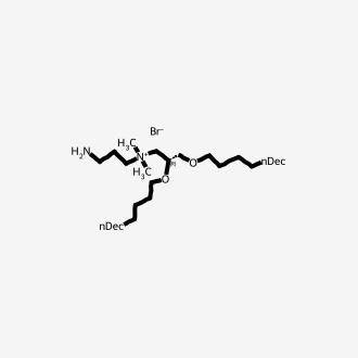 CCCCCCCCCCCCCCOC[C@@H](C[N+](C)(C)CCCN)OCCCCCCCCCCCCCC.[Br-]